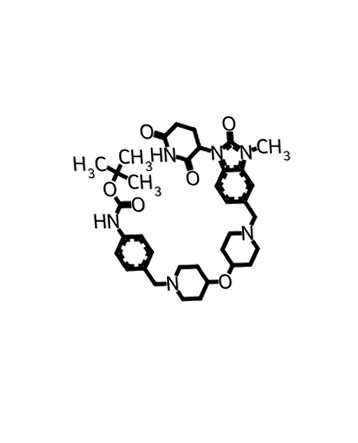 Cn1c(=O)n(C2CCC(=O)NC2=O)c2ccc(CN3CCC(OC4CCN(Cc5ccc(NC(=O)OC(C)(C)C)cc5)CC4)CC3)cc21